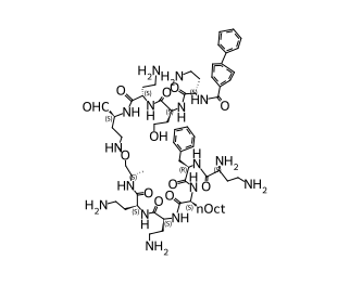 CCCCCCCC[C@H](NC(=O)[C@@H](Cc1ccccc1)NC(=O)[C@@H](N)CCN)C(=O)N[C@@H](CCN)C(=O)N[C@@H](CCN)C(=O)N[C@@H](C)CONCC[C@@H](C=O)NC(=O)[C@H](CCN)NC(=O)[C@H](CCO)NC(=O)[C@H](CCN)NC(=O)c1ccc(-c2ccccc2)cc1